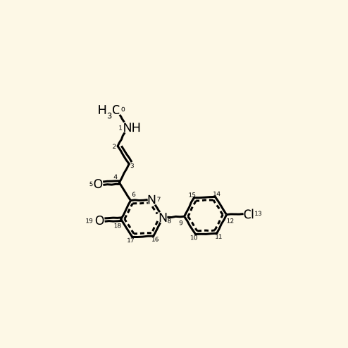 CNC=CC(=O)c1nn(-c2ccc(Cl)cc2)ccc1=O